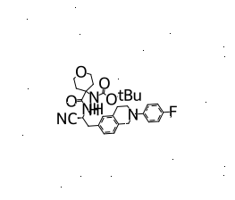 CC(C)(C)OC(=O)NC1(C(=O)N[C@H](C#N)Cc2ccc3c(c2)CCN(c2ccc(F)cc2)C3)CCOCC1